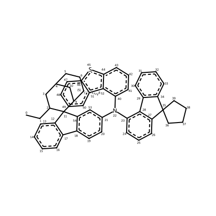 CCC1CC2CC[C@H](C)C(C2)C12c1ccccc1-c1ccc(N(c3cccc4c3-c3ccccc3C43CCCC3)c3cccc4sc5ccccc5c34)cc12